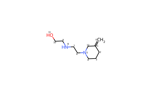 C=C1CCCN(CCNCCO)C1